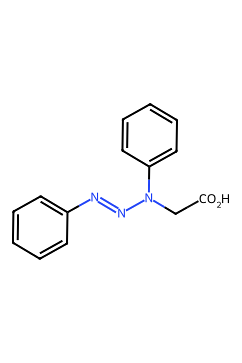 O=C(O)CN(N=Nc1ccccc1)c1ccccc1